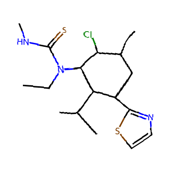 CCN(C(=S)NC)C1C(Cl)C(C)CC(c2nccs2)C1C(C)C